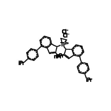 CCCC1=Cc2c(-c3ccc(C(C)C)cc3)cccc2[CH]1[Ti+2]1([CH]2C(CCC)=Cc3c(-c4ccc(C(C)C)cc4)cccc32)[CH2][CH2]1.[Cl-].[Cl-]